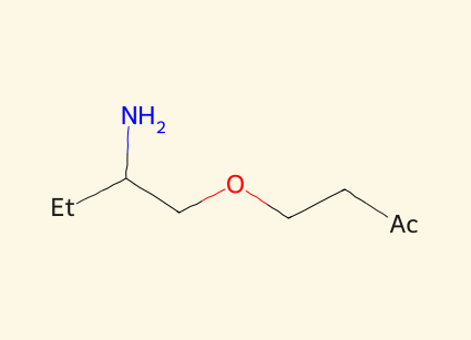 CCC(N)COCCC(C)=O